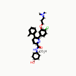 Cc1ccccc1-c1ccc(C(=O)N[C@]2(C(=O)O)CC[C@@H](O)CC2)nc1-c1ccc(Cl)c(OCCCN(C)C)c1